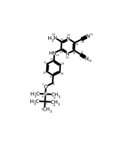 CC(C)(C)[Si](C)(C)OCc1ccc(Nc2nc(C#N)c(C#N)nc2N)cc1